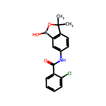 CC1(C)OB(O)c2cc(NC(=O)c3ccccc3Cl)ccc21